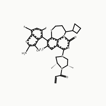 C=CC(=O)N1[C@H](C)CN(c2nc(=O)n3c4c(c(-c5c(F)cc(F)c6sc(N)c(C#N)c56)c(C(F)(F)F)cc24)SCCC3C2CCC2)C[C@@H]1C